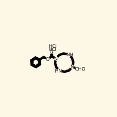 Cl.Cl.O=CN1CCNCCN(C(=O)OCc2ccccc2)CCNCC1